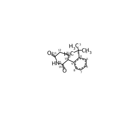 CC(C)(C)c1ccccc1C1CCC(=O)NC1=O